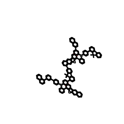 CC1(C)c2ccccc2-c2cccc(-c3ccc(N(c4cccc(-c5ccc6ccccc6c5)c4)c4ccccc4-c4cccc5c4oc4cc6c(-c7ccc8c(c7)C(C)(C)c7c(-c9ccc(N(c%10ccc(-c%11cccc(-c%12cccc%13ccccc%12%13)c%11)cc%10)c%10ccccc%10-c%10cccc%11c%10oc%10cc%12ccccc%12cc%10%11)cc9)cccc7-8)cccc6cc45)cc3)c21